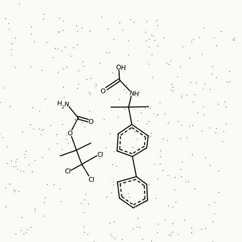 CC(C)(NC(=O)O)c1ccc(-c2ccccc2)cc1.CC(C)(OC(N)=O)C(Cl)(Cl)Cl